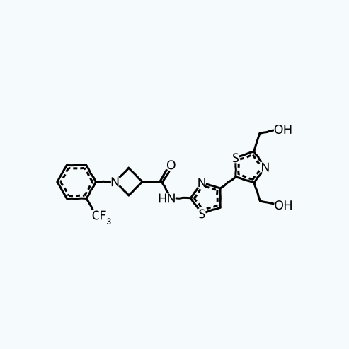 O=C(Nc1nc(-c2sc(CO)nc2CO)cs1)C1CN(c2ccccc2C(F)(F)F)C1